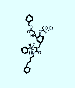 CCOC(=O)C(F)Oc1ccc(C[C@H](NS(=O)(=O)c2ccccc2)C(=O)NCCCCc2ccccc2)cc1NCC(=O)OCc1ccccc1